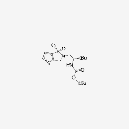 CC(C)(C)OC(=O)N[C@@H](CN1Cc2sccc2S1(=O)=O)C(C)(C)C